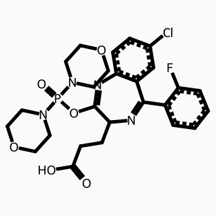 O=C(O)CCC1N=C(c2ccccc2F)c2cc(Cl)ccc2N=C1OP(=O)(N1CCOCC1)N1CCOCC1